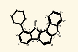 Cn1c2c(C3CCCCC3)cccc2c2ccc3oc4ccccc4c3c21